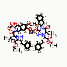 CCOC(=O)[C@H](CCc1ccccc1)N[C@@H](C)C(=O)N(CC(=O)O)C1Cc2ccccc2C1.CCOC(=O)[C@H](CCc1ccccc1)N[C@@H](C)C(=O)N1Cc2cc(OC)c(OC)cc2C[C@H]1C(=O)O